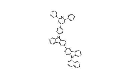 c1ccc(-c2cc(-c3ccc(-n4c5ccccc5c5cc(-c6ccc7c(c6)c6ccccc6n7-c6cccc7ccccc67)ccc54)cc3)cc(-c3ccccc3)n2)cc1